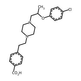 CC(CN1CCN(CCc2ccc(C(=O)O)cc2)CC1)Oc1ccc(Cl)cc1